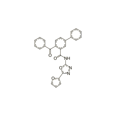 O=C(Nc1nnc(-c2ccco2)o1)c1cc(-c2ccccc2)ccc1C(=O)c1ccccc1